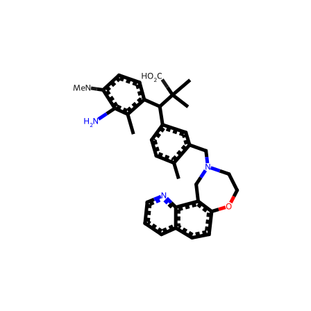 CNc1ccc(C(c2ccc(C)c(CN3CCOc4ccc5cccnc5c4C3)c2)C(C)(C)C(=O)O)c(C)c1N